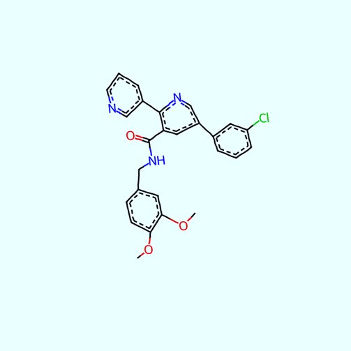 COc1ccc(CNC(=O)c2cc(-c3cccc(Cl)c3)cnc2-c2cccnc2)cc1OC